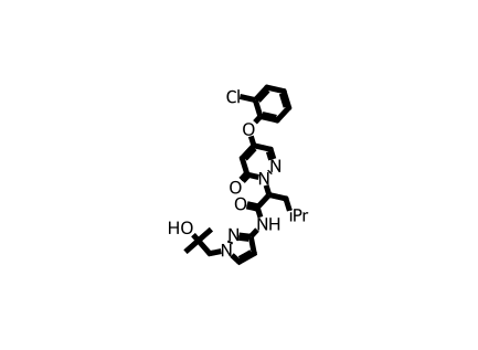 CC(C)CC(C(=O)Nc1ccn(CC(C)(C)O)n1)n1ncc(Oc2ccccc2Cl)cc1=O